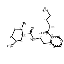 CC1CC[C@@H](C(C)C)[C@H](C(=O)NCCc2ccccc2C(=O)OCCN)C1